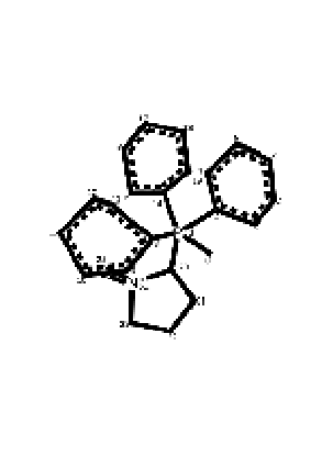 CP(c1ccccc1)(c1ccccc1)(c1ccccc1)C1CCC[N+]1=O